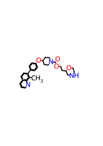 Cc1c(-c2ccc(OC3CCN(C(=O)OCCC4CNCCO4)CC3)cc2)ccc2cccnc12